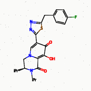 CC(C)[C@H]1Cn2cc(-c3nnc(Cc4ccc(F)cc4)s3)c(=O)c(O)c2C(=O)N1C(C)C